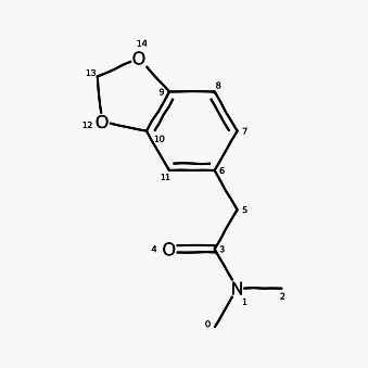 CN(C)C(=O)Cc1ccc2c(c1)OCO2